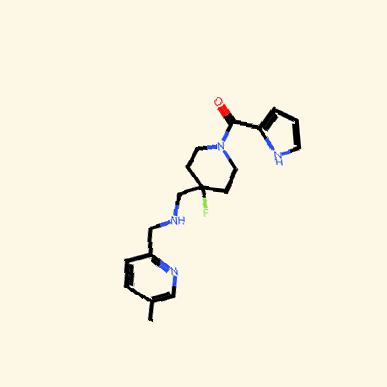 Cc1ccc(CNCC2(F)CCN(C(=O)c3ccc[nH]3)CC2)nc1